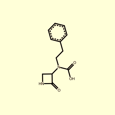 O=C1NCC1N(CCc1ccccc1)C(=O)O